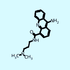 CN(C)CCCNC(=O)c1cccc2c(N)c3ccccc3nc12